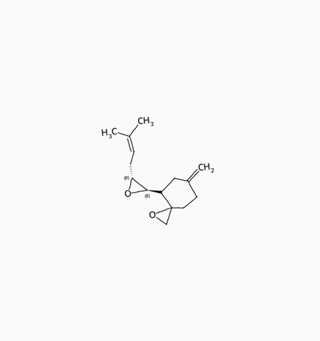 C=C1CCC2(CO2)C([C@H]2O[C@@H]2CC=C(C)C)C1